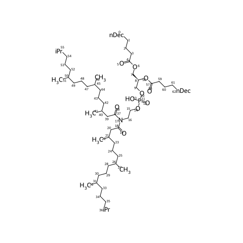 CCCCCCCCCCCCCC(=O)OC[C@H](COP(=O)(O)OCCN(C(=O)CC(C)CCCC(C)CCCC(C)CCCC(C)C)C(=O)CC(C)CCCC(C)CCCC(C)CCCC(C)C)OC(=O)CCCCCCCCCCCCC